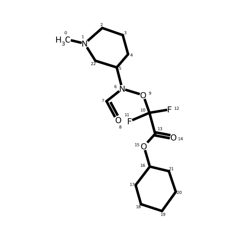 CN1CCCC(N(C=O)OC(F)(F)C(=O)OC2CCCCC2)C1